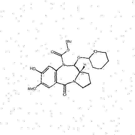 COc1cc2c(cc1O)N(C(=O)OC(C)(C)C)C(OC1CCCCO1)[C@@H]1CCCN1C2=O